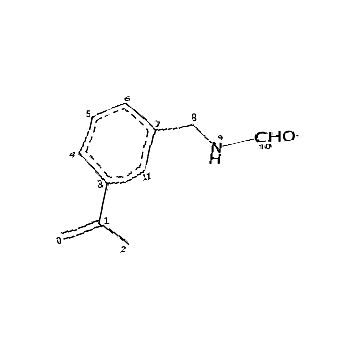 C=C(C)c1cccc(CN[C]=O)c1